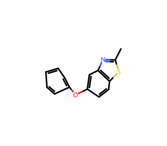 Cc1nc2cc(Oc3ccccc3)ccc2s1